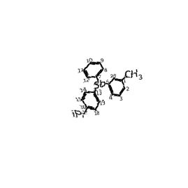 Cc1ccc[c]([Sb]([c]2ccccc2)[c]2ccc(C(C)C)cc2)c1